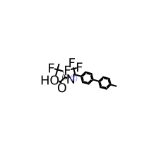 Cc1ccc(-c2ccc(/C(=N/[C@@H](CC(C)(C)F)C(=O)O)C(F)(F)F)cc2)cc1